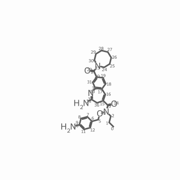 CCCN(OCc1ccc(N)cc1)C(=O)C1=Cc2ccc(C(=O)N3CCCCCCC3)cc2N=C(N)C1